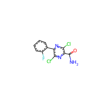 NC(=O)c1nc(Cl)c(-c2ccccc2F)nc1Cl